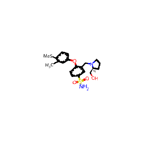 CSc1ccc(Oc2ccc(S(N)(=O)=O)cc2CN2CCC[C@H]2CO)cc1C